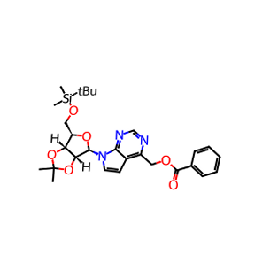 CC1(C)O[C@@H]2[C@H](O1)[C@@H](CO[Si](C)(C)C(C)(C)C)O[C@H]2n1ccc2c(COC(=O)c3ccccc3)ncnc21